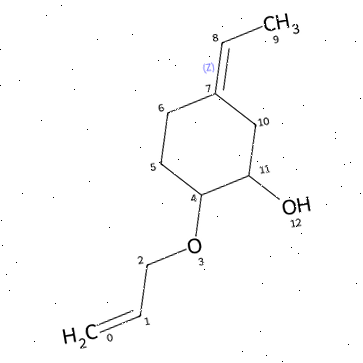 C=CCOC1CC/C(=C/C)CC1O